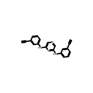 C#Cc1cccc(Nc2cncc(Nc3cccc(C#C)c3)n2)c1